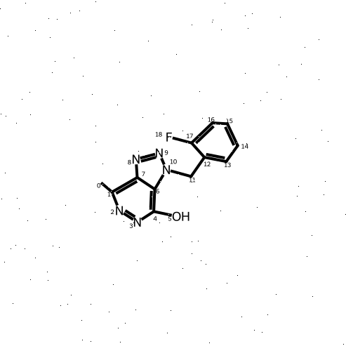 Cc1nnc(O)c2c1nnn2Cc1ccccc1F